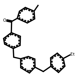 CCc1ccc(Cc2ccc(Cc3ccc(C(=O)c4ccc(C)cc4)cc3)cc2)cc1